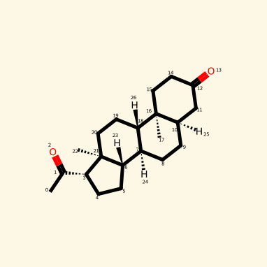 CC(=O)[C@H]1CC[C@H]2[C@@H]3CC[C@@H]4CC(=O)CC[C@]4(C)[C@H]3CC[C@]12C